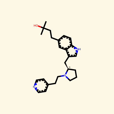 CC(C)(O)CCc1ccc2[nH]cc(C[C@H]3CCCN3CCc3ccncc3)c2c1